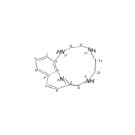 c1cc2c3nc(ccc3c1)CNCCNCCN2